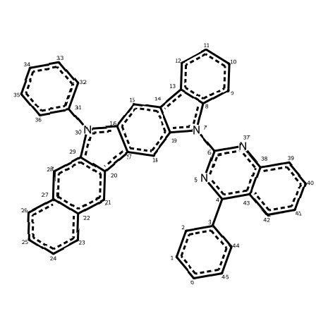 c1ccc(-c2nc(-n3c4ccccc4c4cc5c(cc43)c3cc4ccccc4cc3n5-c3ccccc3)nc3ccccc23)cc1